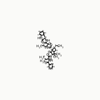 CCCC(NC(=O)[C@@H]1[C@@H](CC)CC2N1C(=O)[C@@H](NC(=O)[C@@H](NC(=O)c1cnccn1)C(C)C)C2(C)C)C(=O)C(=O)N[C@@H](Cc1ccccc1)C(=O)O